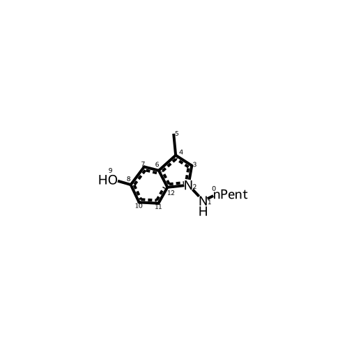 CCCCCNn1cc(C)c2cc(O)ccc21